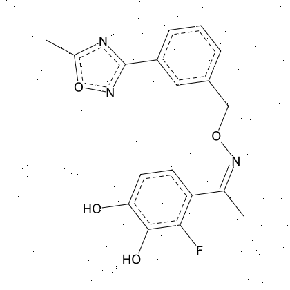 CC(=NOCc1cccc(-c2noc(C)n2)c1)c1ccc(O)c(O)c1F